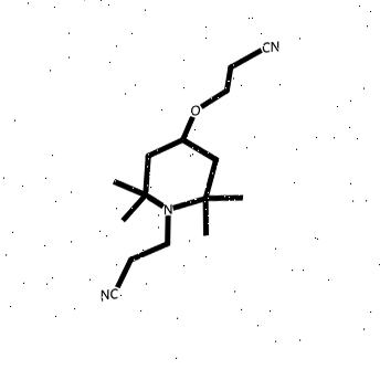 CC1(C)CC(OCCC#N)CC(C)(C)N1CCC#N